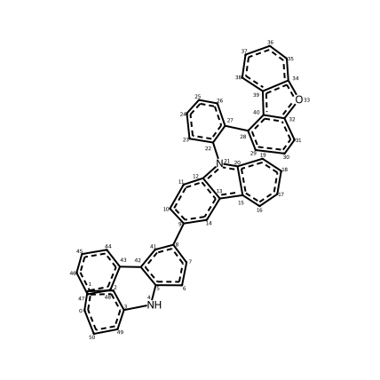 c1ccc(Nc2ccc(-c3ccc4c(c3)c3ccccc3n4-c3ccccc3-c3cccc4oc5ccccc5c34)cc2-c2ccccc2)cc1